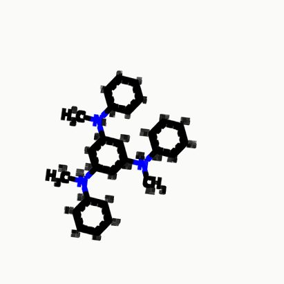 CN(c1ccccc1)c1cc(N(C)c2ccccc2)cc(N(C)c2ccccc2)c1